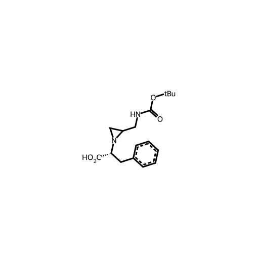 CC(C)(C)OC(=O)NCC1CN1[C@H](Cc1ccccc1)C(=O)O